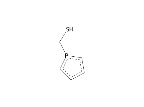 SCp1cccc1